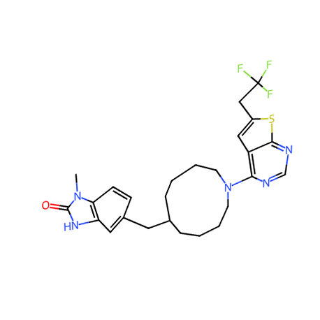 Cn1c(=O)[nH]c2cc(CC3CCCCN(c4ncnc5sc(CC(F)(F)F)cc45)CCCC3)ccc21